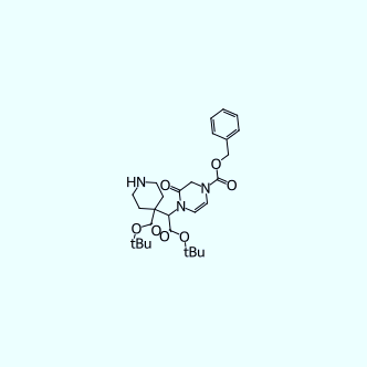 CC(C)(C)OC(=O)C(N1C=CN(C(=O)OCc2ccccc2)CC1=O)C1(C(=O)OC(C)(C)C)CCNCC1